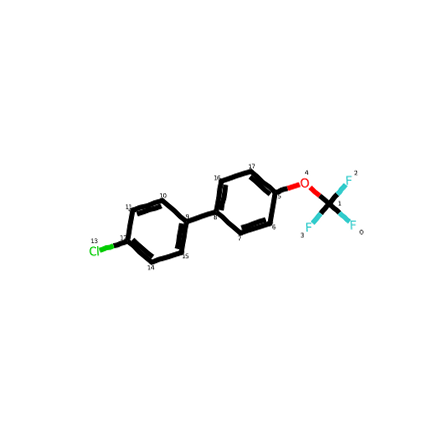 FC(F)(F)Oc1ccc(-c2c[c]c(Cl)cc2)cc1